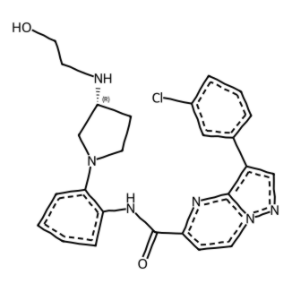 O=C(Nc1ccccc1N1CC[C@@H](NCCO)C1)c1ccn2ncc(-c3cccc(Cl)c3)c2n1